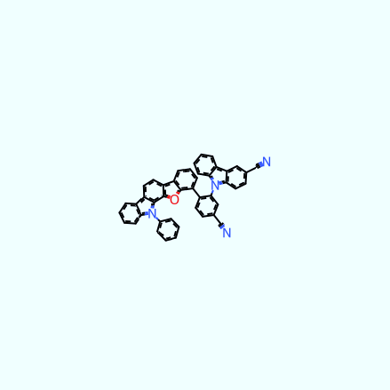 N#Cc1ccc(-c2cccc3c2oc2c3ccc3c4ccccc4n(-c4ccccc4)c32)c(-n2c3ccccc3c3cc(C#N)ccc32)c1